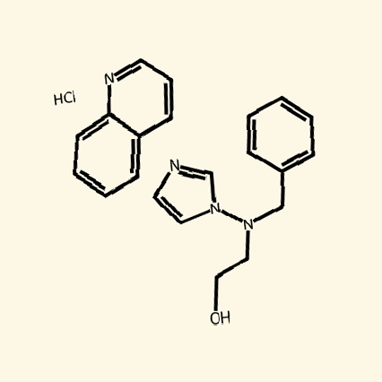 Cl.OCCN(Cc1ccccc1)n1ccnc1.c1ccc2ncccc2c1